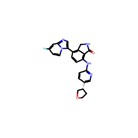 O=C1NCc2c(-c3cnc4cc(F)ccn34)ccc(Nc3ccc([C@@H]4CCOC4)cn3)c21